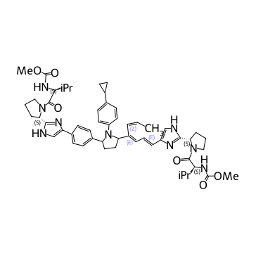 C\C=C/C(=C\C=C\c1c[nH]c([C@@H]2CCCN2C(=O)[C@@H](NC(=O)OC)C(C)C)n1)C1CCC(c2ccc(-c3c[nH]c([C@@H]4CCCN4C(=O)[C@@H](NC(=O)OC)C(C)C)n3)cc2)N1c1ccc(C2CC2)cc1